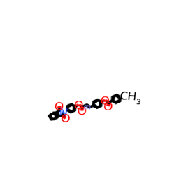 Cc1ccc(C(=O)Oc2ccc(/C=C/C(=O)Oc3ccc(N4C(=O)C5C6C=CC(C6)C5C4=O)cc3)cc2)cc1